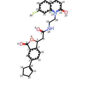 O=C(CC1OC(=O)c2cc(C3=CCCC3)ccc21)NCCn1c(=O)ccc2ccc(F)cc21